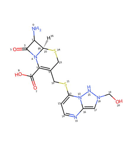 NC1C(=O)N2C(C(=O)O)=C(CSC3=CC=NC4=CN(CO)NN43)CS[C@H]12